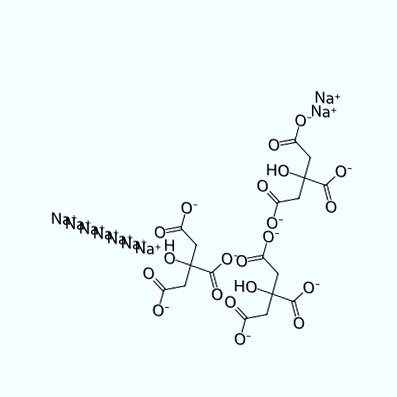 O=C([O-])CC(O)(CC(=O)[O-])C(=O)[O-].O=C([O-])CC(O)(CC(=O)[O-])C(=O)[O-].O=C([O-])CC(O)(CC(=O)[O-])C(=O)[O-].[Na+].[Na+].[Na+].[Na+].[Na+].[Na+].[Na+].[Na+].[Na+]